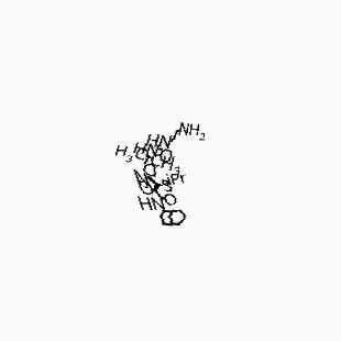 CC(C)Sc1c(OCC(C)(C)NC(=O)NCCN)noc1C(=O)NC1CCC2CCCC1C2